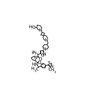 Cc1ncsc1-c1ccc(C(C)NC(=O)C2CCCN2C(=O)C(c2cc(N3CCC(CN4CCC5(CC4)CC(N4CCCC(O)C4)C5)CC3)no2)C(C)C)cc1